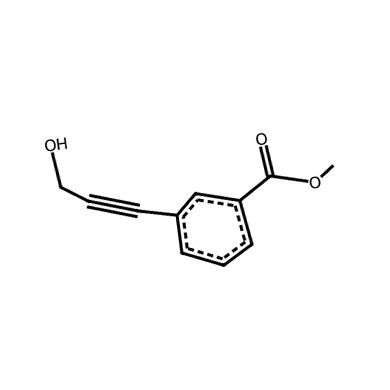 COC(=O)c1cccc(C#CCO)c1